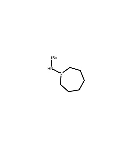 CC(C)(C)NN1CCCCCC1